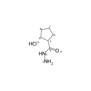 Cl.NNC(=O)C1CCCC1